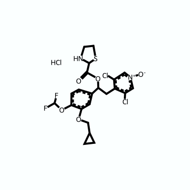 Cl.O=C(OC(Cc1c(Cl)c[n+]([O-])cc1Cl)c1ccc(OC(F)F)c(OCC2CC2)c1)C1NCCS1